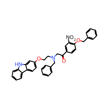 O=C(CN(CCOc1ccc2c(c1)[nH]c1ccccc12)Cc1ccccc1)c1ccc(OCc2ccccc2)c([N+](=O)[O-])c1